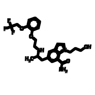 CC(Cc1cc(C(N)=O)c2c(ccn2CCCO)c1)NCCOc1ccccc1OCC(F)(F)F